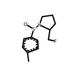 Cc1ccc([S+]([O-])N2CCCC2CF)cc1